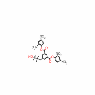 CC(C)(Cc1cc(C(=O)Oc2ccc([N+](=O)[O-])cc2[N+](=O)[O-])cc(C(=O)Oc2ccc([N+](=O)[O-])cc2[N+](=O)[O-])c1)[Si](C)(C)O